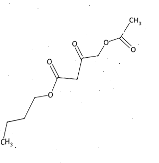 CCCCOC(=O)CC(=O)COC(C)=O